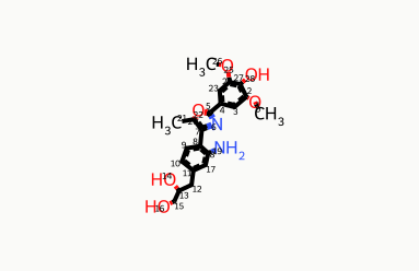 COc1cc(-c2nc(-c3ccc(CC(O)CO)cc3N)c(C)o2)cc(OC)c1O